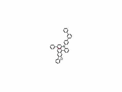 c1ccc(-c2ccc(N(c3ccc(-c4cccc(-c5ccccc5)c4)cc3)c3ccccc3-c3cccc4cc5c(cc34)oc3ccccc35)cc2)cc1